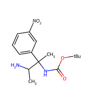 CC(N)C(C)(NC(=O)OC(C)(C)C)c1cccc([N+](=O)[O-])c1